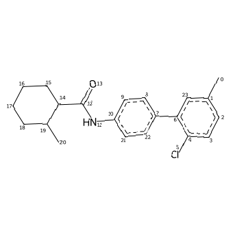 Cc1ccc(Cl)c(-c2ccc(NC(=O)C3CCCCC3C)cc2)c1